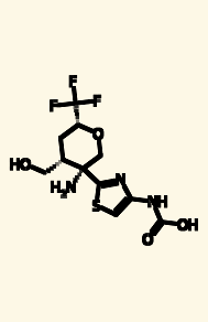 N[C@@]1(c2nc(NC(=O)O)cs2)CO[C@@H](C(F)(F)F)C[C@H]1CO